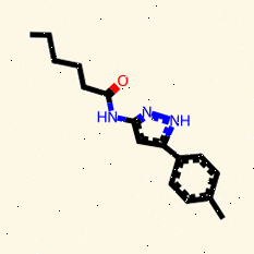 CCCCCC(=O)Nc1cc(-c2ccc(C)cc2)[nH]n1